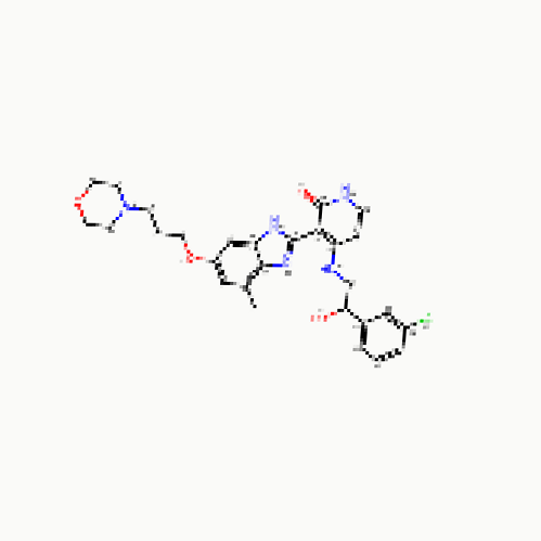 Cc1cc(OCCCN2CCOCC2)cc2[nH]c(-c3c(NCC(O)c4cccc(Cl)c4)cc[nH]c3=O)nc12